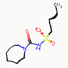 CCCCS(=O)(=O)NC(=O)N1CCCCC1